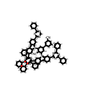 N#Cc1cc(C#N)cc(-c2cc(-n3c4cc(-c5ncnc(-c6ccccc6)n5)ccc4c4ccc(-c5nc(-c6ccccc6)nc(-c6ccccc6)n5)cc43)c(C#N)c(-n3c4cc(-c5nc(-c6ccccc6)nc(-c6ccccc6)n5)ccc4c4ccc(-c5nc(-c6ccccc6)nc(-c6ccccc6)n5)cc43)c2)c1